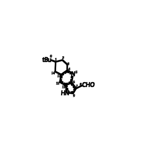 CC(C)(C)C1CCc2nc3c(C=O)c[nH]c3cc2C1